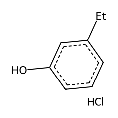 CCc1cccc(O)c1.Cl